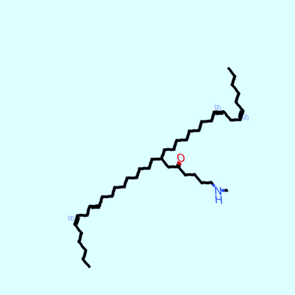 CCCCC/C=C\CC=CCCCCCCCCCC(CCCCCCCC/C=C\C/C=C\CCCCC)CC(=O)CCCCNC